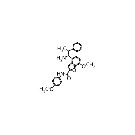 COc1ccc(NC(=O)c2cc3c(C(N)C(C)c4ccccc4)ccc(OC)c3o2)cc1